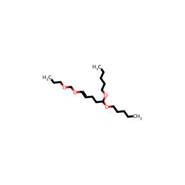 CCCCCOC(CCC=COCOCCC)OCCCCC